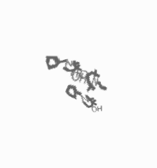 C=CCN1C(C)(C)CC(O)CC1(C)C.CC1(C)C(O)CCN(Cc2ccccc2)C1(C)C.CC1(C)C(O)CCN(Cc2ccccc2)C1(C)C